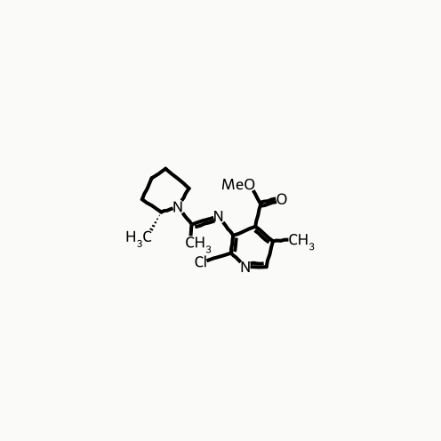 COC(=O)c1c(C)cnc(Cl)c1/N=C(\C)N1CCCC[C@H]1C